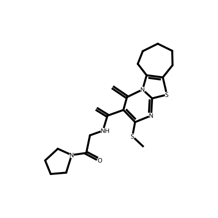 C=C(NCC(=O)N1CCCC1)C1=C(SC)N=C2SC3=C(CCCCC3)N2C1=C